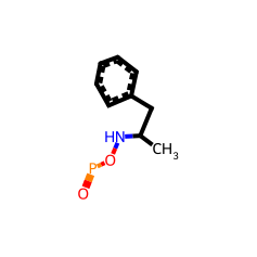 CC(Cc1ccccc1)NOP=O